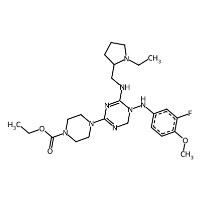 CCOC(=O)N1CCN(C2=NCN(Nc3ccc(OC)c(F)c3)C(NCC3CCCN3CC)=N2)CC1